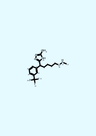 Nc1nnc(C(CCCCOPI)c2cccc(C(F)(F)F)c2)[nH]1